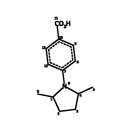 CC1CCC(C)N1c1ccc(C(=O)O)cc1